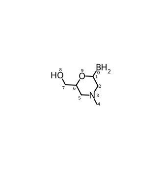 BC1CN(C)CC(CO)O1